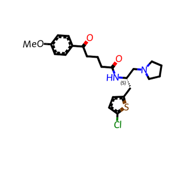 COc1ccc(C(=O)CCCC(=O)N[C@@H](Cc2ccc(Cl)s2)CN2CCCC2)cc1